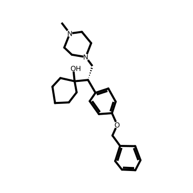 CN1CCN(C[C@H](c2ccc(OCc3ccccc3)cc2)C2(O)CCCCC2)CC1